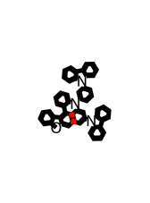 c1cc(N(c2cccc(-n3c4ccccc4c4ccccc43)c2)c2ccccc2-c2cccc3oc4ccccc4c23)cc(-n2c3ccccc3c3ccccc32)c1